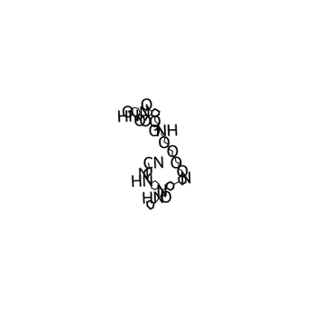 N#Cc1ccc(NC2CCC(N(C(=O)NCc3ccccc3)c3ccc(-c4ccnc(OCCOCCOCCOCCNC(=O)COc5cccc6c5C(=O)N(C5CCC(=O)NC5=O)C6=O)c4)cc3)CC2)nc1